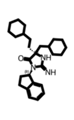 N=C1N[C@](CCC2CCCCC2)(CC2CCCCC2)C(=O)N1[C@@H]1CCc2ccccc21